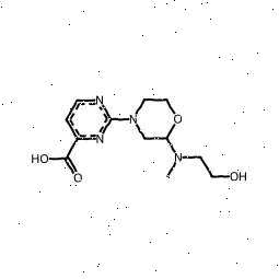 CN(CCO)C1CN(c2nccc(C(=O)O)n2)CCO1